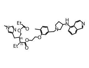 CCC(=O)OC[C@H](Cc1cn(C)cn1)[C@H](CC)C(=O)OCCOc1cc(CN2CCC(Nc3cccc4cnccc34)C2)ccc1C